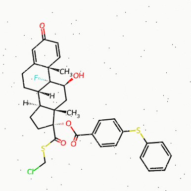 C[C@]12C=CC(=O)C=C1CC[C@H]1[C@@H]3CC[C@](OC(=O)c4ccc(Sc5ccccc5)cc4)(C(=O)SCCl)[C@@]3(C)C[C@H](O)[C@@]12F